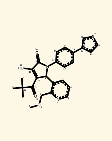 COCc1ncccc1C1C(C(=O)C(C)(C)C)=C(O)C(=O)N1c1ccc(-c2ccsc2)cc1